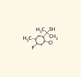 Cc1cc(C(C)(C)S)c(Cl)cc1F